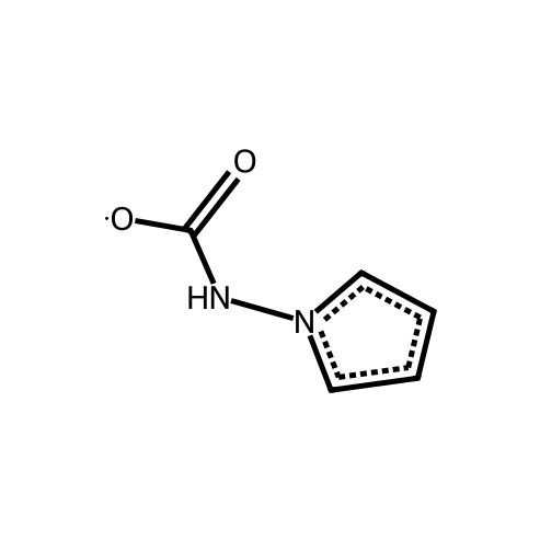 [O]C(=O)Nn1cccc1